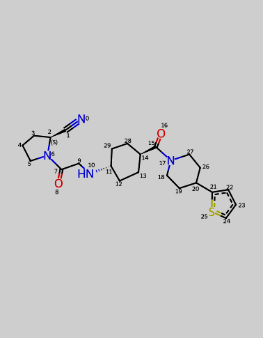 N#C[C@@H]1CCCN1C(=O)CN[C@H]1CC[C@H](C(=O)N2CCC(c3cccs3)CC2)CC1